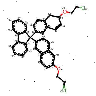 ClCCOc1ccc2cc(C3(c4ccc5c(c4)C=CC(OCCCl)C5)c4ccccc4-c4ccccc43)ccc2c1